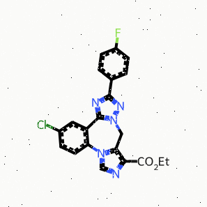 CCOC(=O)c1ncn2c1Cn1nc(-c3ccc(F)cc3)nc1-c1cc(Cl)ccc1-2